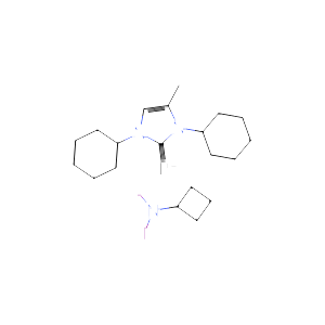 Cc1cn(C2CCCCC2)[c](=[Pt])n1C1CCCCC1.IN(I)C1CCC1